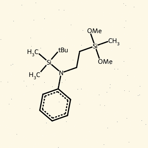 CO[Si](C)(CCN(c1ccccc1)[Si](C)(C)C(C)(C)C)OC